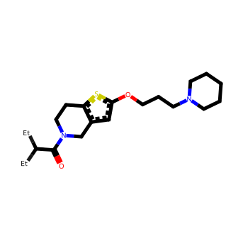 CCC(CC)C(=O)N1CCc2sc(OCCCN3CCCCC3)cc2C1